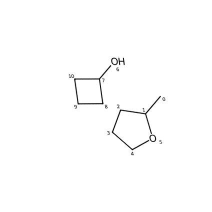 CC1CCCO1.OC1CCC1